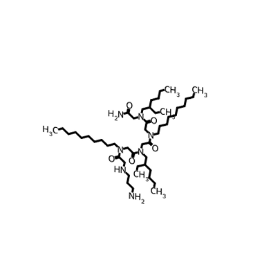 CCCCCCCCCCN(CC(=O)N(CC(=O)N(CCCCCCCCCC)CC(=O)N(CC(N)=O)CC(CC)CCCC)CC(CC)CCCC)C(=O)CNCCCN